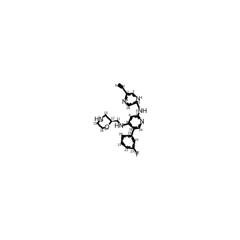 C#Cc1cnc(Nc2cc(NC[C@@H]3CNCCO3)c(-c3cccc(F)c3)cn2)cn1